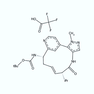 CC(C)[C@@H]1/C=C/C[C@H](NC(=O)OC(C)(C)C)c2cc(ccn2)-c2c(cnn2C)NC1=O.O=C(O)C(F)(F)F